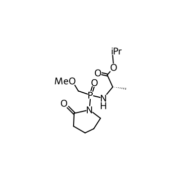 COCP(=O)(N[C@@H](C)C(=O)OC(C)C)N1CCCCC1=O